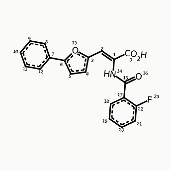 O=C(O)C(=Cc1ccc(-c2ccccc2)o1)NC(=O)c1ccccc1F